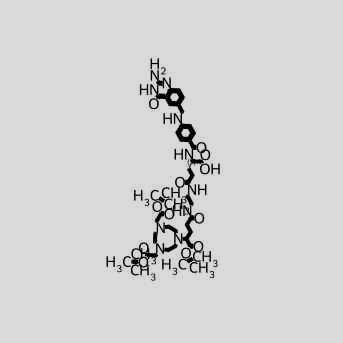 CC(C)(C)OC(=O)CN1CCN(CC(=O)OC(C)(C)C)CCN(C(CCC(=O)NCCNC(=O)CC[C@H](NC(=O)c2ccc(NCc3ccc4nc(N)[nH]c(=O)c4c3)cc2)C(=O)O)C(=O)OC(C)(C)C)CC1